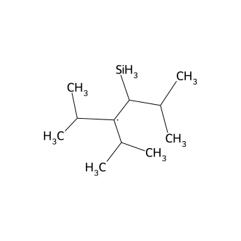 CC(C)[C](C(C)C)C([SiH3])C(C)C